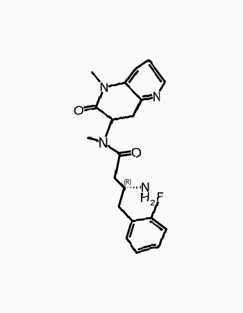 CN1C(=O)C(N(C)C(=O)C[C@H](N)Cc2ccccc2F)Cc2ncccc21